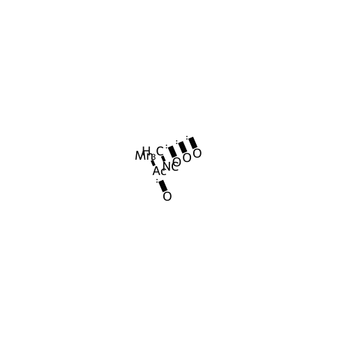 C[C](=O)[Mn].[C-]#[N+]C.[C]=O.[C]=O.[C]=O.[C]=O